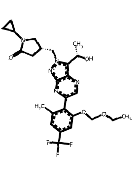 CCOCOc1cc(C(F)(F)F)cc(C)c1-c1cnc2c([C@H](C)O)n(C[C@@H]3CC(=O)N(C4CC4)C3)nc2n1